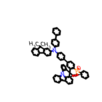 CC1(C)c2ccccc2-c2ccc(N(c3ccc(-c4ccccc4)cc3)c3ccc(-c4ccc5c(c4)C4(c6ccccc6-n6c7ccccc7c7cccc4c76)c4ccccc4P5(=O)c4ccccc4)cc3)cc21